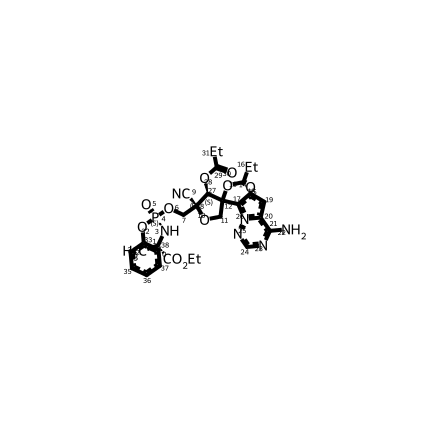 CCOC(=O)[C@H](C)N[P@](=O)(OC[C@@]1(C#N)OCC(OC(=O)CC)(c2ccc3c(N)ncnn23)[C@@H]1OC(=O)CC)Oc1ccccc1